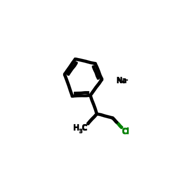 CC(CCl)c1ccccc1.[Na]